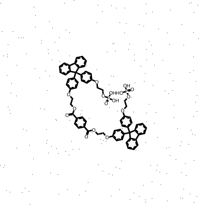 O=C(OCCOc1ccc(C2(c3ccc(OCCOP(=O)(O)O)cc3)c3ccccc3-c3ccccc32)cc1)c1ccc(C(=O)OCCOc2ccc(C3(c4ccc(OCCOP(=O)(O)O)cc4)c4ccccc4-c4ccccc43)cc2)cc1